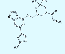 C=CC(=O)N1C[C@H](COc2cc(-c3cnn(C)c3)cn3nccc23)OC(C)(C)C1